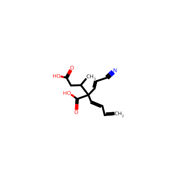 C=CC=CC(C=CC#N)(C(=O)O)C(C)CC(=O)O